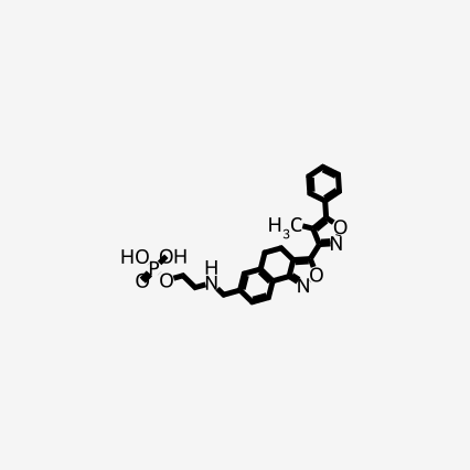 Cc1c(-c2onc3c2CCc2cc(CNCCOP(=O)(O)O)ccc2-3)noc1-c1ccccc1